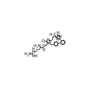 CCCCc1nc(Cl)c(COC(=O)[C@@H](N)CCCNC(=N)N)n1Cc1ccc(-c2ccccc2-c2nn[nH]n2)cc1